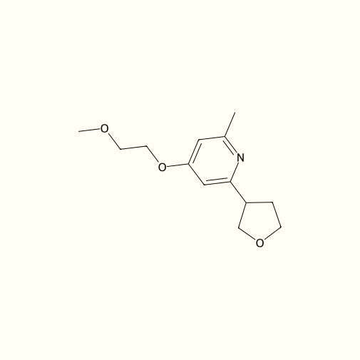 COCCOc1cc(C)nc(C2CCOC2)c1